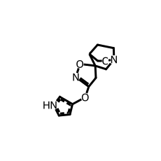 c1cc(OC2=NOC3(C2)CN2CCC3CC2)c[nH]1